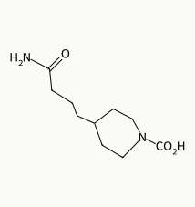 NC(=O)CCCC1CCN(C(=O)O)CC1